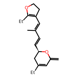 C=C1C=C(CC)C[C@@H](/C=C/C(C)=C/C2=C(CC)OCC2)O1